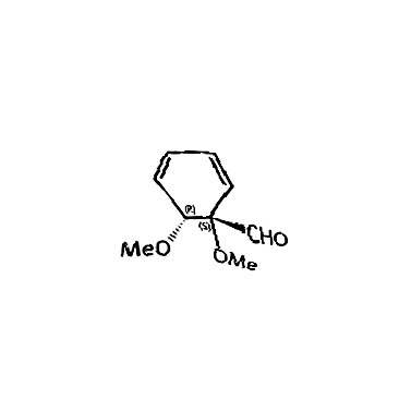 CO[C@@H]1C=CC=C[C@]1(C=O)OC